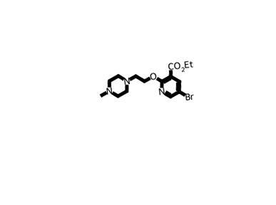 CCOC(=O)c1cc(Br)cnc1OCCN1CCN(C)CC1